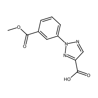 COC(=O)c1cccc(-n2ncc(C(=O)O)n2)c1